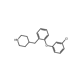 Clc1cccc(Oc2ccccc2CC2CCNCC2)c1